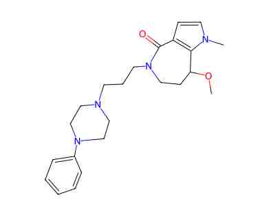 COC1CCN(CCCN2CCN(c3ccccc3)CC2)C(=O)c2ccn(C)c21